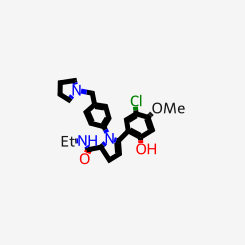 CCNC(=O)C1CC=C(c2cc(Cl)c(OC)cc2O)N1c1ccc(CN2CCCC2)cc1